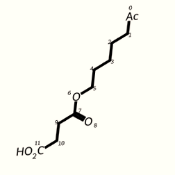 CC(=O)CCCCCOC(=O)CCC(=O)O